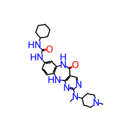 CN1CCC(N(C)c2ncc3c(n2)Nc2ccc(NC(=O)NC4CCCCC4)cc2NC3=O)CC1